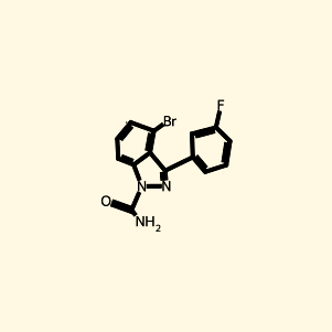 NC(=O)n1nc(-c2cccc(F)c2)c2c(Br)[c]ccc21